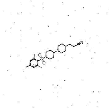 Cc1cc(C)c(S(=O)(=O)N2CCC(N3CCC(CCC#N)CC3)CC2)c(C)c1